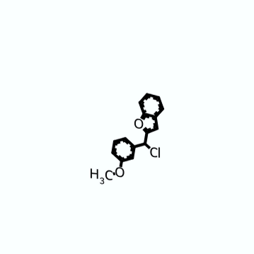 COc1cccc(C(Cl)c2cc3ccccc3o2)c1